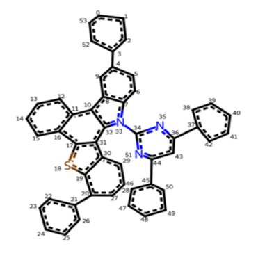 c1ccc(-c2ccc3c(c2)c2c4ccccc4c4sc5c(-c6ccccc6)cccc5c4c2n3-c2nc(-c3ccccc3)cc(-c3ccccc3)n2)cc1